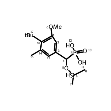 COc1cc(C(O[SiH](C)C)P(=O)(O)O)cc(C)c1C(C)(C)C